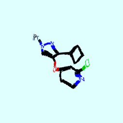 CC(C)n1cc(Oc2ccnc(Cl)c2)c(C2CCC2)n1